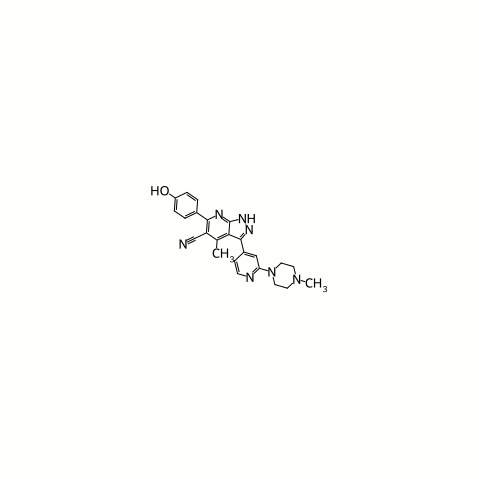 Cc1c(C#N)c(-c2ccc(O)cc2)nc2[nH]nc(-c3ccnc(N4CCN(C)CC4)c3)c12